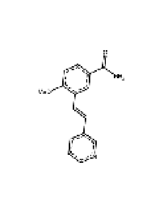 COc1ccc(C(N)=O)cc1C=Cc1cccnc1